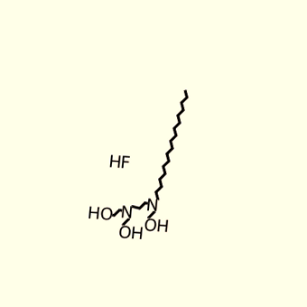 CCCCCCCCCCCCCCCCCCN(CCO)CCCN(CCO)CCO.F